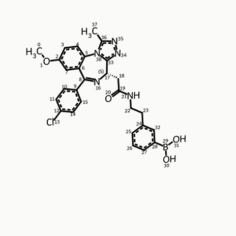 COc1ccc2c(c1)C(c1ccc(Cl)cc1)=N[C@@H](CC(=O)NCCc1cccc(B(O)O)c1)c1nnc(C)n1-2